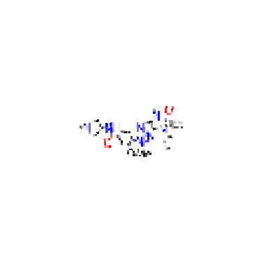 CC[C@H]1C(=O)N(C)c2cnc(Nc3ccc(C(=O)NC4CCN(C)CC4)cc3OC)nc2N1C1CCCC1